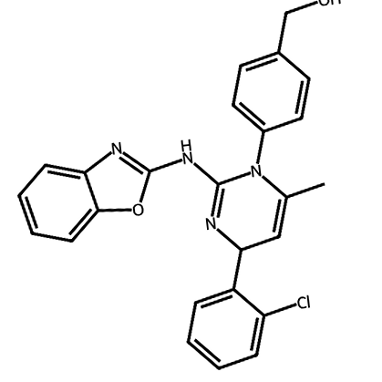 CC1=CC(c2ccccc2Cl)N=C(Nc2nc3ccccc3o2)N1c1ccc(CO)cc1